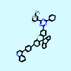 C=C/C=C(\C=C/C)c1nc(C2=CCCC=C2)nc(-c2ccc3c(c2)SC2=CC(c4ccc(-c5ccnc6ccccc56)cc4)CC=C2C32c3ccccc3-c3ccccc32)n1